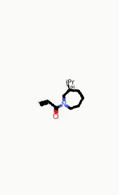 C=CC(=O)N1CCCC[C@H](C(C)C)C1